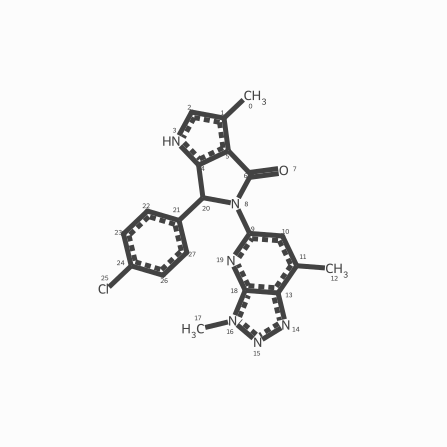 Cc1c[nH]c2c1C(=O)N(c1cc(C)c3nnn(C)c3n1)C2c1ccc(Cl)cc1